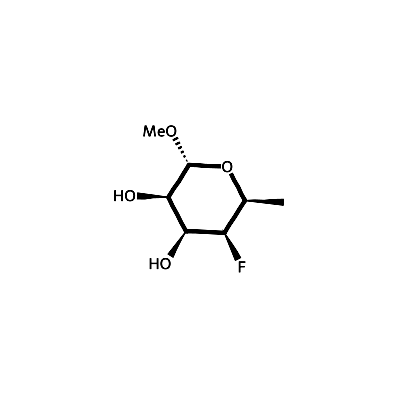 CO[C@@H]1O[C@@H](C)[C@@H](F)[C@@H](O)[C@H]1O